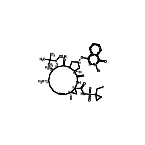 CCn1nc(O[C@@H]2C[C@H]3C(=O)N[C@]4(C(=O)NS(=O)(=O)C5(CF)CC5)C[C@H]4C=CCC[C@H](C)C[C@@H](C)[C@H](N(C(=O)O)C(C)(C)C(F)(F)F)C(=O)N3C2)c2ccccc2c1=O